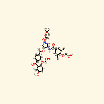 COCOc1ccc(OC)c(F)c1C(=O)c1ccc(C(=O)OC2CN(OC(=O)OC(C)(C)C)CC2NC(=O)c2cc(C)c(OCOC)c(C)c2)cc1